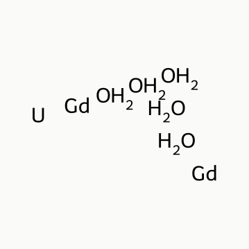 O.O.O.O.O.[Gd].[Gd].[U]